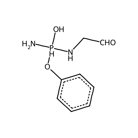 N[PH](O)(NCC=O)Oc1ccccc1